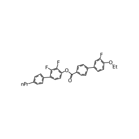 CCCc1ccc(-c2ccc(OC(=O)c3ccc(-c4ccc(OCC)c(F)c4)cc3)c(F)c2F)cc1